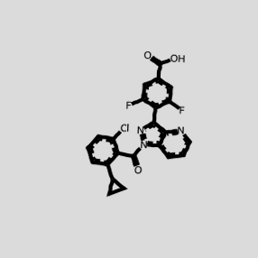 O=C(O)c1cc(F)c(-c2nn(C(=O)c3c(Cl)cccc3C3CC3)c3cccnc23)c(F)c1